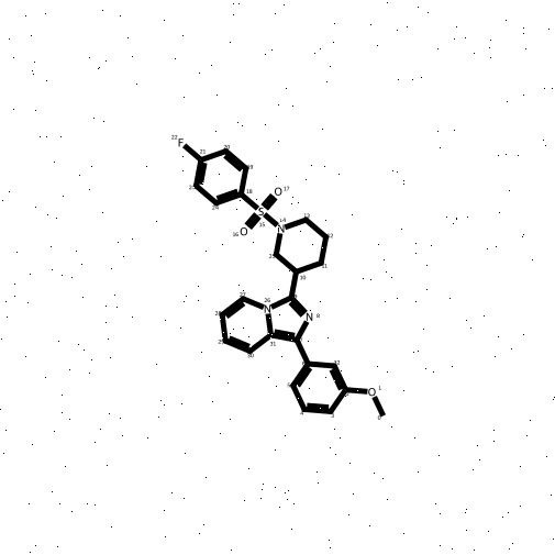 COc1cccc(-c2nc(C3CCCN(S(=O)(=O)c4ccc(F)cc4)C3)n3ccccc23)c1